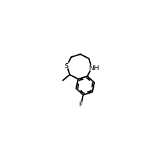 CC1SCCCNc2ccc(F)cc21